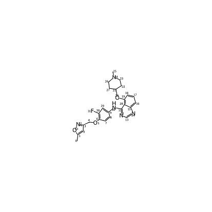 Cc1cc(COc2ccc(Nc3ncnc4cccc(OC5CCN(C)CC5)c34)cc2F)no1